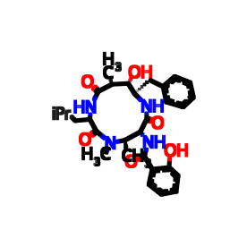 CC(C)CC1NC(=O)[C@H](C)[C@H](O)[C@H](Cc2ccccc2)NC(=O)[C@@H](NC(=O)c2ccccc2O)[C@@H](C)N(C)C1=O